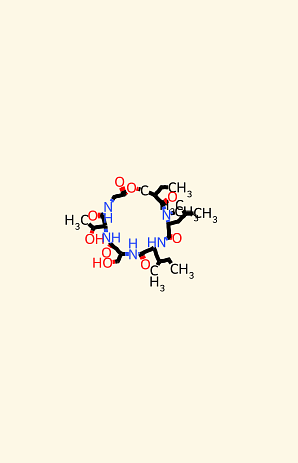 CCC1COC(=O)CNC(=O)C(C(C)O)NC(=O)C(CO)NC(=O)C(C(C)CC)NC(=O)C(CC(C)C)N(C)C1=O